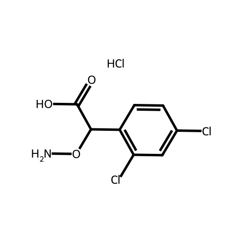 Cl.NOC(C(=O)O)c1ccc(Cl)cc1Cl